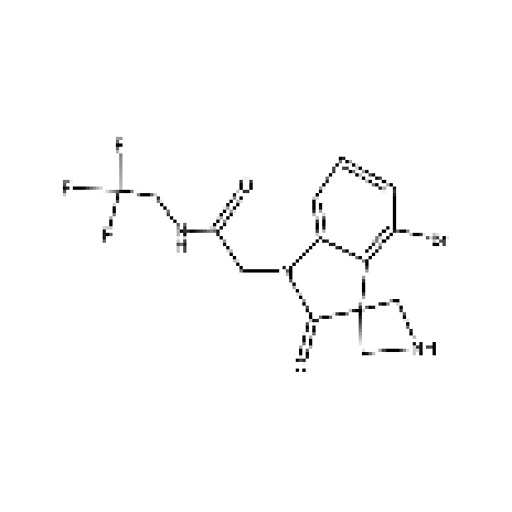 O=C(CN1C(=O)C2(CNC2)c2c(Br)cccc21)NCC(F)(F)F